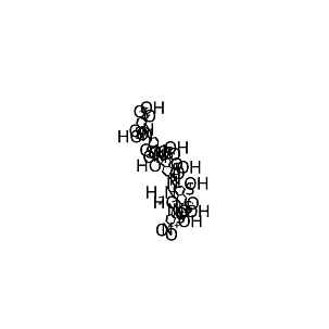 Nc1c(N=Nc2ccc3c(O)c(N=Nc4ccc(N=Nc5cc(S(=O)(=O)O)ccc5S(=O)(=O)O)cc4S(=O)(=O)O)c(S(=O)(=O)O)cc3c2S(=O)(=O)O)cc(SO)c2cc(S(=O)(=O)O)c(N=Nc3ccc([N+](=O)[O-])cc3S(=O)O)c(O)c12